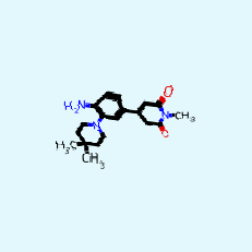 CN1C(=O)CC(c2ccc(N)c(N3CCC(C)(C)CC3)c2)CC1=O